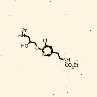 CCOC(=O)NCCc1cnc(OCC(O)CNC(C)C)c(Cl)c1